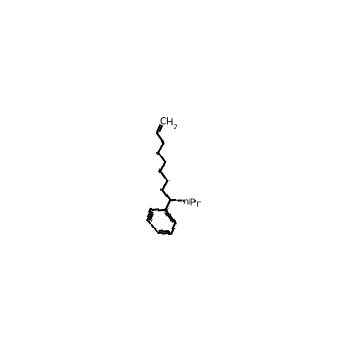 C=CCCCCCCC(CCC)c1ccccc1